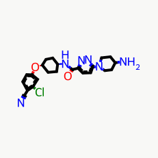 N#Cc1ccc(O[C@H]2CC[C@H](NC(=O)c3ccc(N4CCC(N)CC4)nn3)CC2)cc1Cl